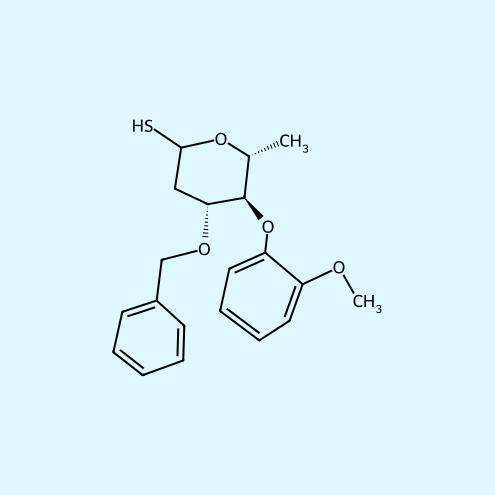 COc1ccccc1O[C@@H]1[C@@H](C)OC(S)C[C@H]1OCc1ccccc1